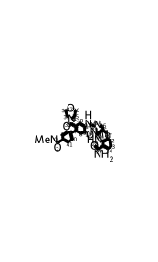 CNC(=O)c1ccc(-c2cc(OC)c(Nc3ncc(I)c(Nc4ccccc4C(N)=O)n3)cc2C(=O)N2CCOCC2)cc1